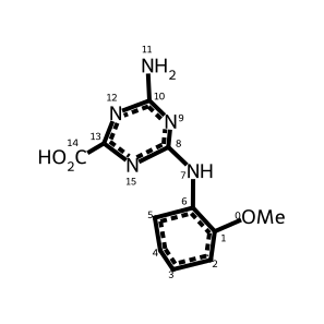 COc1ccccc1Nc1nc(N)nc(C(=O)O)n1